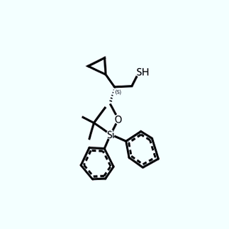 CC(C)(C)[Si](OC[C@@H](CS)C1CC1)(c1ccccc1)c1ccccc1